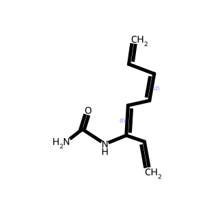 C=C/C=C\C=C(/C=C)NC(N)=O